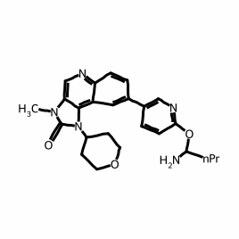 CCCC(N)Oc1ccc(-c2ccc3ncc4c(c3c2)n(C2CCOCC2)c(=O)n4C)cn1